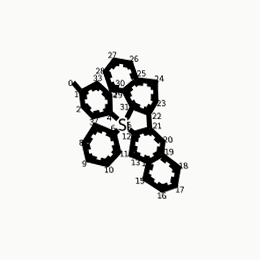 Cc1ccc([Si]2(c3ccccc3)c3cc4ccccc4cc3-c3ccc4ccccc4c32)cc1